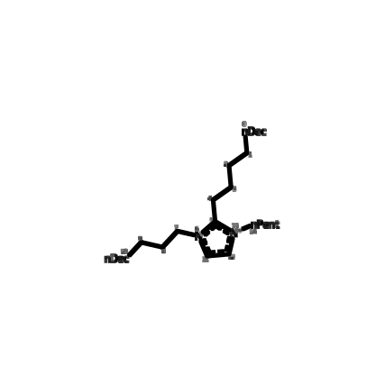 CCCCCCCCCCCCCCc1n(CCCCCCCCCCCCC)cc[n+]1CCCCC